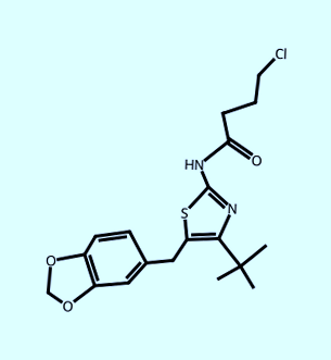 CC(C)(C)c1nc(NC(=O)CCCCl)sc1Cc1ccc2c(c1)OCO2